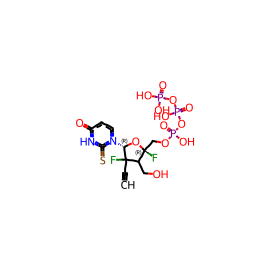 C#CC1(F)C(CO)[C@@](F)(COP(=O)(O)OP(=O)(O)OP(=O)(O)O)O[C@H]1n1ccc(=O)[nH]c1=S